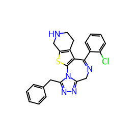 Clc1ccccc1C1=NCc2nnc(Cc3ccccc3)n2-c2sc3c(c21)CCNC3